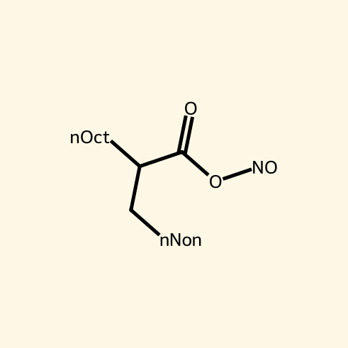 CCCCCCCCCCC(CCCCCCCC)C(=O)ON=O